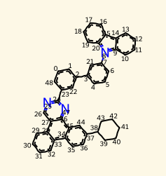 c1cc(-c2cccc(-n3c4ccccc4c4ccccc43)c2)cc(-c2ncc3c4ccccc4c4ccc(C5CCCCC5)cc4c3n2)c1